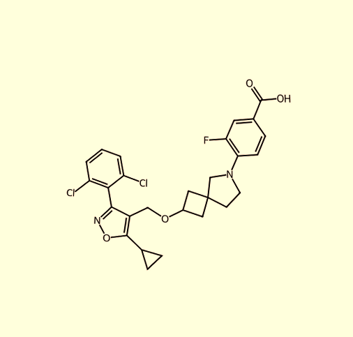 O=C(O)c1ccc(N2CCC3(CC(OCc4c(-c5c(Cl)cccc5Cl)noc4C4CC4)C3)C2)c(F)c1